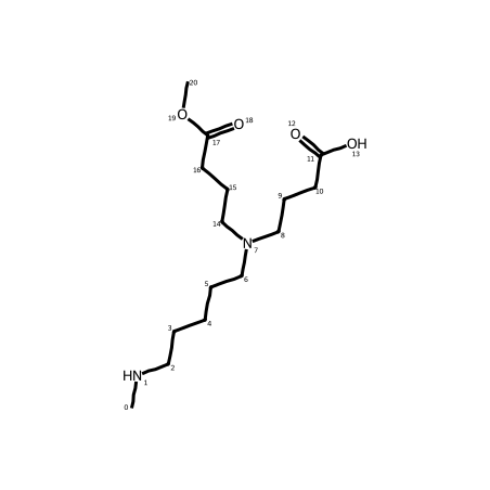 CNCCCCCN(CCCC(=O)O)CCCC(=O)OC